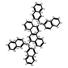 C1=CC2C(N(c3ccc4c(c3)C=CCC4)c3ccc4ccccc4c3)=Cc3c(cc(N(c4ccc5ccccc5c4)c4ccc5ccccc5c4)c4ccccc34)C2C=C1